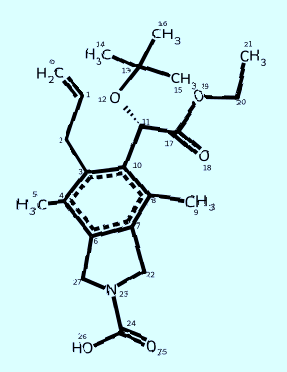 C=CCc1c(C)c2c(c(C)c1[C@H](OC(C)(C)C)C(=O)OCC)CN(C(=O)O)C2